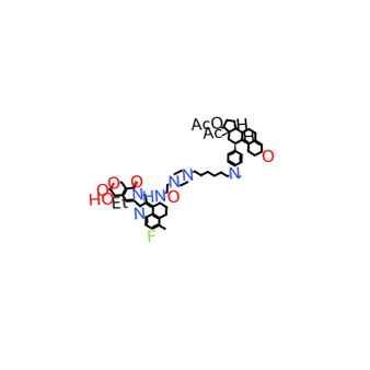 CC[C@@]1(O)C(=O)OCc2c1cc1n(c2=O)Cc2c-1nc1cc(F)c(C)c3c1c2[C@@H](NC(=O)CN1CCN(CCCCCCN(C)c2ccc([C@H]4C[C@@]5(C)[C@@H](CC[C@]5(OC(C)=O)C(C)=O)[C@@H]5CCC6=CC(=O)CCC6=C54)cc2)CC1)CC3